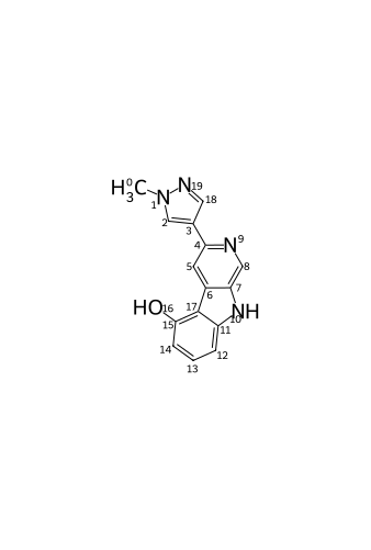 Cn1cc(-c2cc3c(cn2)[nH]c2cccc(O)c23)cn1